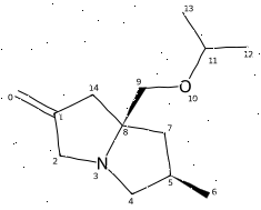 C=C1CN2C[C@H](C)C[C@@]2(COC(C)C)C1